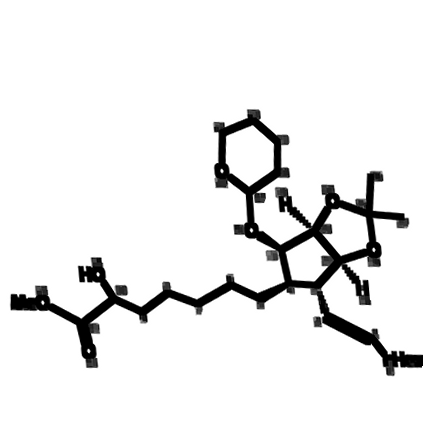 CCCCCCC=C[C@@H]1[C@@H](CCCCCC(O)C(=O)OC)[C@@H](OC2CCCCO2)[C@H]2OC(C)(C)O[C@@H]12